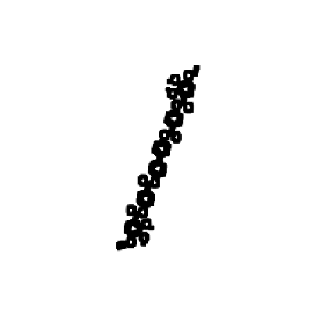 C#COc1ccc(C(=O)Oc2ccc(C(=O)Oc3ccc(-c4ccc(OC(=O)c5ccc(OC(=O)c6ccc(OCC)c(OC)c6OC)cc5)cc4)cc3)cc2)c(OC)c1OC